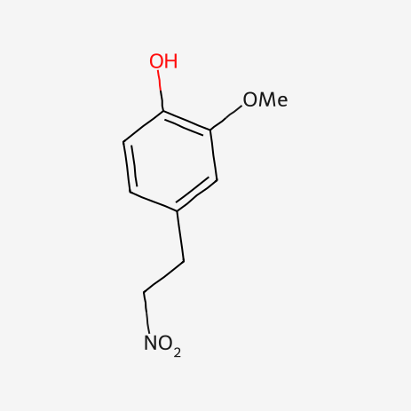 COc1cc(CC[N+](=O)[O-])ccc1O